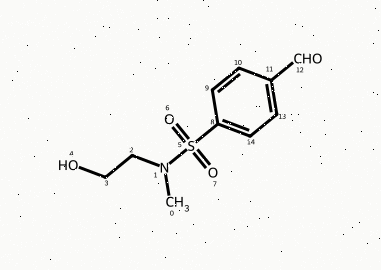 CN(CCO)S(=O)(=O)c1ccc(C=O)cc1